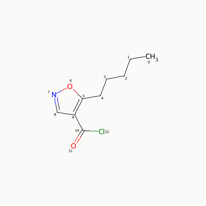 CCCCCc1oncc1C(=O)Cl